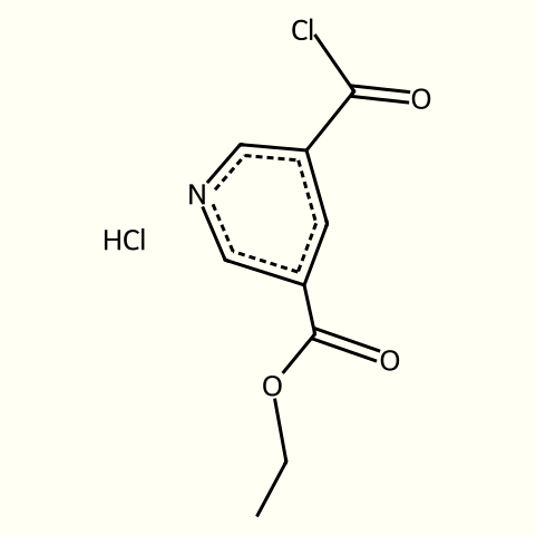 CCOC(=O)c1cncc(C(=O)Cl)c1.Cl